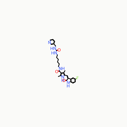 Cc1[nH]c(C=C2C(=O)Nc3ccc(F)cc32)c(C)c1C(=O)NCCCCCCNC(=O)NCc1cccnc1